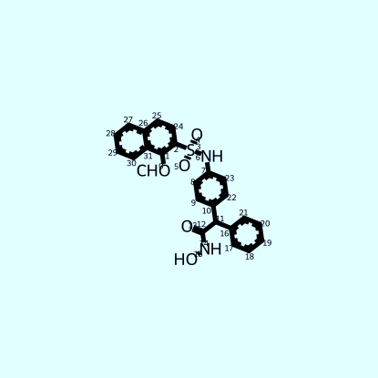 O=Cc1c(S(=O)(=O)Nc2ccc(C(C(=O)NO)c3ccccc3)cc2)ccc2ccccc12